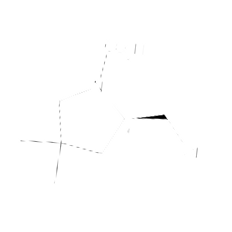 CC1(C)C[C@H](CO)N(C(=O)O)C1